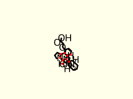 C=C(N1CCCC1)N(c1cccc(OCC(=O)O)c1)[C@H]1C[C@H]2CCC[C@@H](C1)N2[C@H]1C[C@@H]2CCC[C@@H](C2)C1